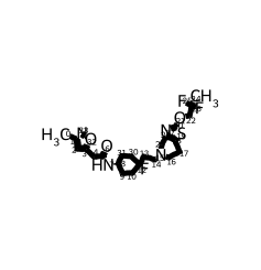 Cc1cc(CC(=O)N[C@H]2CC[C@](F)(CCN3CCc4sc(OCC(C)(F)F)nc4C3)CC2)on1